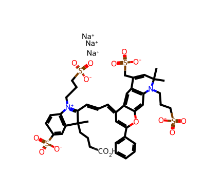 CC1(CCCC(=O)O)C(C=CC=C2C=C(c3ccccc3)Oc3cc4c(cc32)C(CS(=O)(=O)[O-])=CC(C)(C)N4CCCS(=O)(=O)[O-])=[N+](CCCS(=O)(=O)[O-])c2ccc(S(=O)(=O)[O-])cc21.[Na+].[Na+].[Na+]